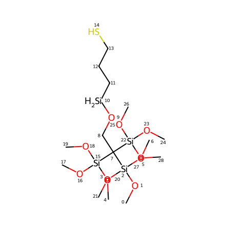 CO[Si](OC)(OC)C(CO[SiH2]CCCS)([Si](OC)(OC)OC)[Si](OC)(OC)OC